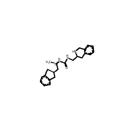 C[C@H](CC1Cc2ccccc2C1)NC(=O)NCC1Cc2ccccc2CN1